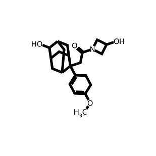 COC1=CC=C(C2(CC(=O)N3CC(O)C3)C3CC4CC2CC(C3)C4O)CC1